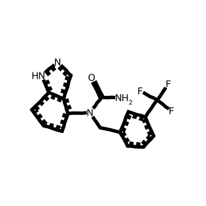 NC(=O)N(Cc1cccc(C(F)(F)F)c1)c1cccc2[nH]ncc12